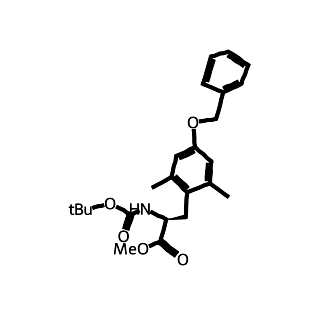 COC(=O)[C@H](Cc1c(C)cc(OCc2ccccc2)cc1C)NC(=O)OC(C)(C)C